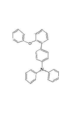 [c]1cccc(-c2ccc(N(c3ccccc3)c3ccccc3)cc2)c1Oc1ccccc1